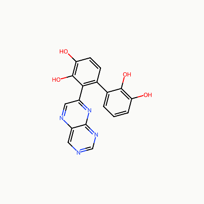 Oc1cccc(-c2ccc(O)c(O)c2-c2cnc3cncnc3n2)c1O